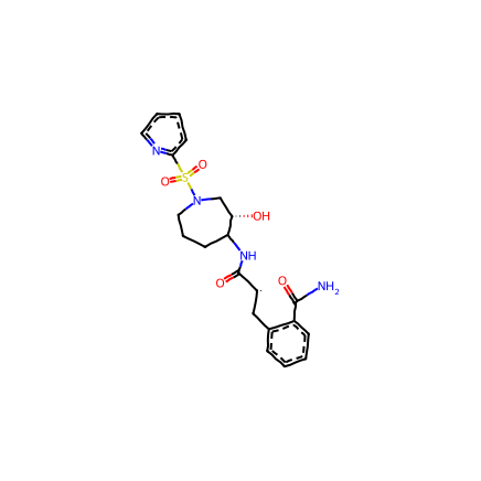 NC(=O)c1ccccc1C[CH]C(=O)NC1CCCN(S(=O)(=O)c2ccccn2)C[C@@H]1O